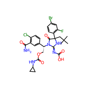 CC(C)(C)CC1(c2ccc(Br)cc2F)NC(=NC(=O)O)N([C@H](COC(=O)NC2CC2)c2ccc(Cl)c(C(N)=O)c2)C1=O